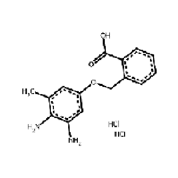 Cc1cc(OCc2ccccc2C(=O)O)cc(N)c1N.Cl.Cl